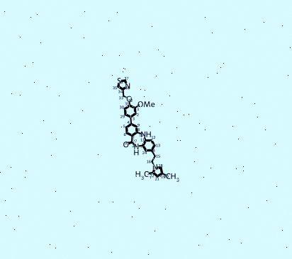 COc1cc(-c2ccc3c(c2)Nc2ccc(CCn4cc(C)cc4C)cc2NC3=O)ccc1OCc1cscn1